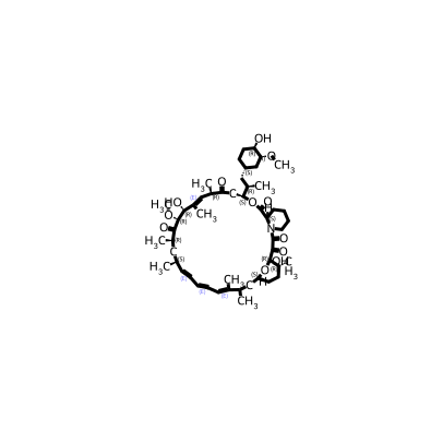 CO[C@@H]1C[C@H](C[C@@H](C)[C@@H]2CC(=O)[C@H](C)/C=C(\C)[C@@H](O)[C@@H](OC)C(=O)[C@H](C)C[C@H](C)/C=C/C=C/C=C(\C)C(C)C[C@@H]3CC[C@@H](C)[C@@](O)(O3)C(=O)C(=O)N3CCCC[C@H]3C(=O)O2)CC[C@H]1O